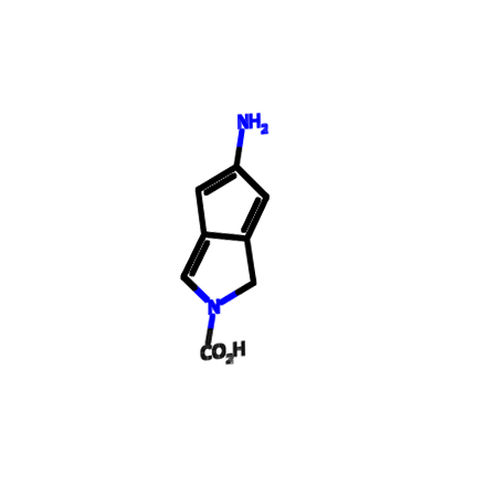 NC1=CC2=CN(C(=O)O)CC2=C1